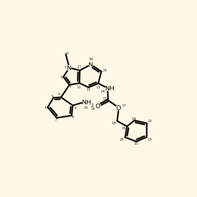 Cn1cc(-c2ccccc2N)c2cc(NC(=O)OCc3ccccc3)cnc21